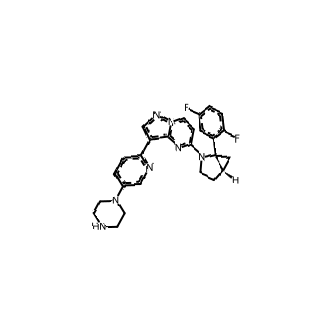 Fc1ccc(F)c(C23C[C@@H]2CCN3c2ccn3ncc(-c4ccc(N5CCNCC5)cn4)c3n2)c1